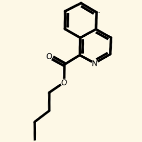 CCCCOC(=O)c1nccc2[c]cccc12